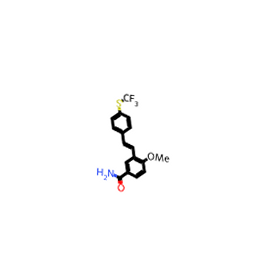 COc1ccc(C(N)=O)cc1C=Cc1ccc(SC(F)(F)F)cc1